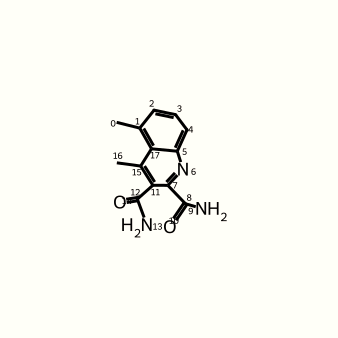 Cc1cccc2nc(C(N)=O)c(C(N)=O)c(C)c12